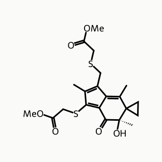 COC(=O)CSCC1=C(C)C(SCC(=O)OC)=C2C(=O)[C@](C)(O)C3(CC3)C(C)=C12